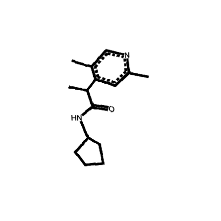 Cc1cc(C(C)C(=O)NC2CCCC2)c(C)cn1